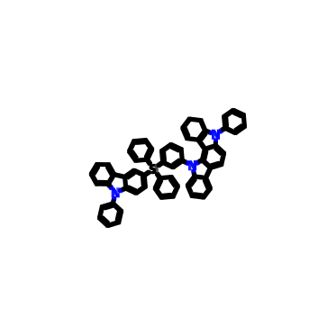 C1=Cc2c(n(-c3ccccc3)c3ccc4c5ccccc5n(-c5cccc([Si](c6ccccc6)(c6ccccc6)c6ccc7c(c6)c6ccccc6n7-c6ccccc6)c5)c4c23)CC1